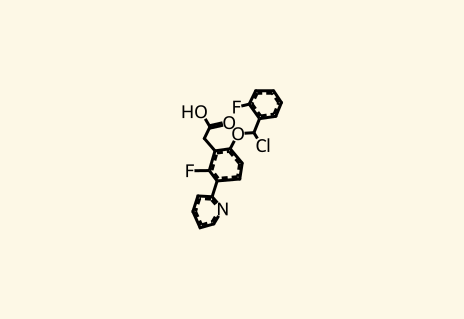 O=C(O)Cc1c(OC(Cl)c2ccccc2F)ccc(-c2ccccn2)c1F